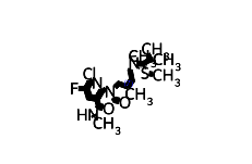 CNC(=O)c1cc(F)c(Cl)nc1N(C=O)C/C(C)=C\CN(C)[C@H](SC)C(C)C